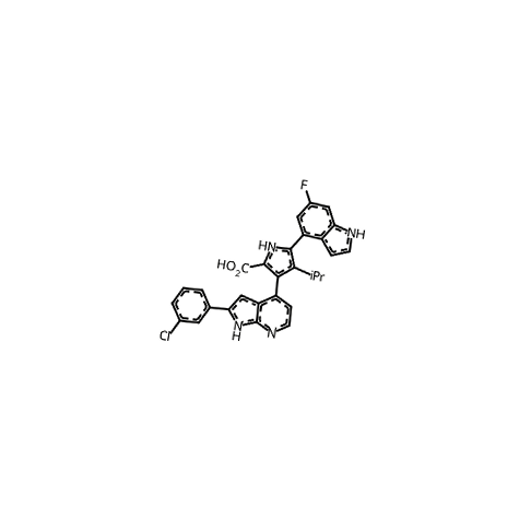 CC(C)c1c(-c2cc(F)cc3[nH]ccc23)[nH]c(C(=O)O)c1-c1ccnc2[nH]c(-c3cccc(Cl)c3)cc12